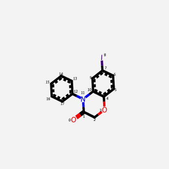 O=C1COc2ccc(I)cc2N1c1ccccc1